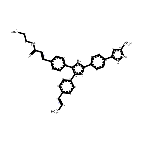 CCCCCCCCCCCCNC(=O)/C=C/c1ccc(-c2[nH]c(-c3ccc(-c4cc(C(=O)O)on4)cc3)nc2-c2ccc(/C=C/C(=O)O)cc2)cc1